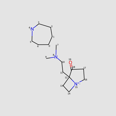 C1CCC[N]CC1.CN(C)CCC12CC[N+]1CCC2=O